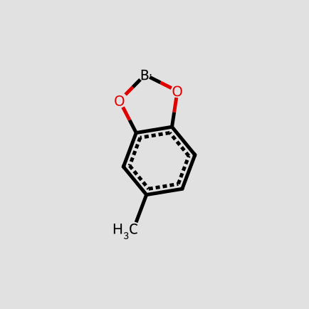 Cc1ccc2c(c1)O[B]O2